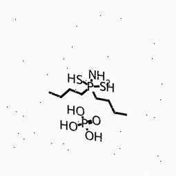 CCCCP(N)(S)(S)CCCC.O=P(O)(O)O